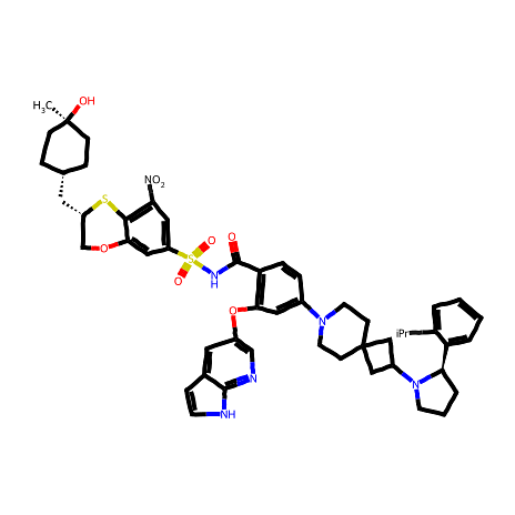 CC(C)c1ccccc1[C@H]1CCCN1C1CC2(CCN(c3ccc(C(=O)NS(=O)(=O)c4cc5c(c([N+](=O)[O-])c4)S[C@@H](C[C@H]4CC[C@](C)(O)CC4)CO5)c(Oc4cnc5[nH]ccc5c4)c3)CC2)C1